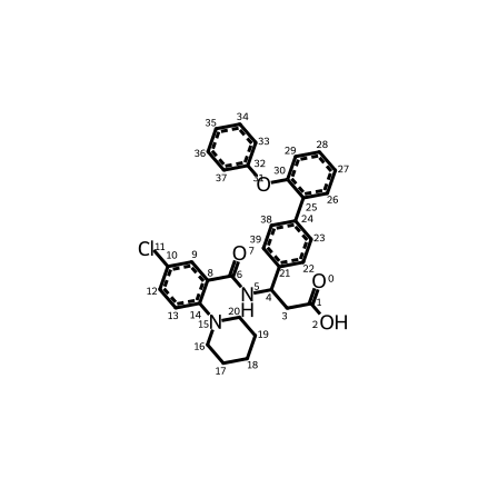 O=C(O)CC(NC(=O)c1cc(Cl)ccc1N1CCCCC1)c1ccc(-c2ccccc2Oc2ccccc2)cc1